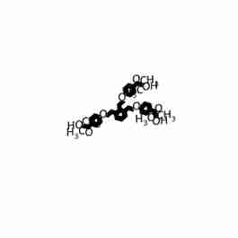 CC(C)(O)C(=O)c1ccc(OCCc2cccc(CCOc3ccc(C(=O)C(C)(C)O)cc3)c2CCOc2ccc(C(=O)C(C)(C)O)cc2)cc1